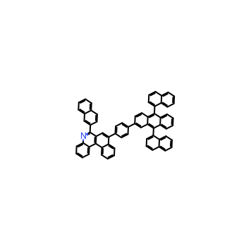 c1ccc2cc(-c3nc4ccccc4c4c3cc(-c3ccc(-c5ccc6c(-c7cccc8ccccc78)c7ccccc7c(-c7cccc8ccccc78)c6c5)cc3)c3ccccc34)ccc2c1